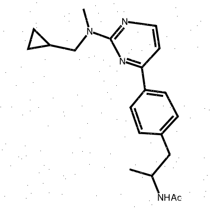 CC(=O)NC(C)Cc1ccc(-c2ccnc(N(C)CC3CC3)n2)cc1